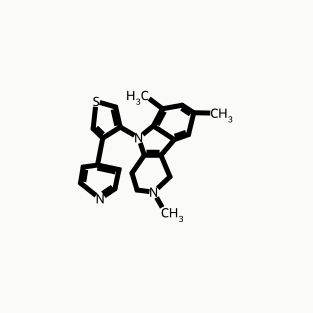 Cc1cc(C)c2c(c1)c1c(n2-c2cscc2-c2ccncc2)CCN(C)C1